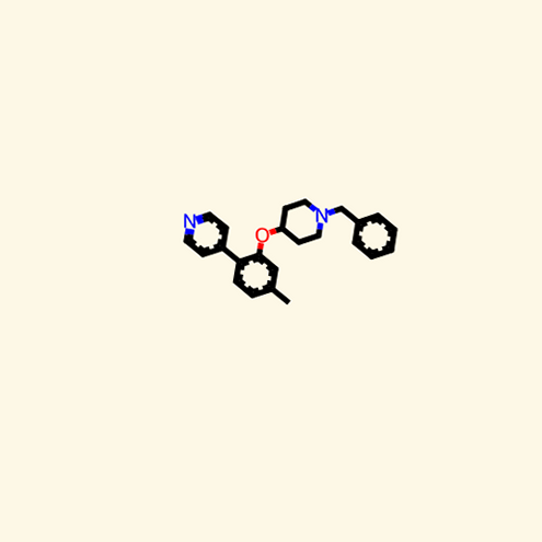 Cc1ccc(-c2ccncc2)c(OC2CCN(Cc3ccccc3)CC2)c1